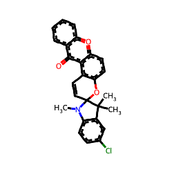 CN1c2ccc(Cl)cc2C(C)(C)C12C=Cc1c(ccc3oc4ccccc4c(=O)c13)O2